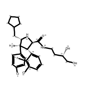 N[C@]1(c2ccc(Cl)cc2)[C@H](CC2CCCC2)N[C@@H](C(=O)NCC[C@H](O)CO)[C@@H]1c1cccc(Cl)c1F